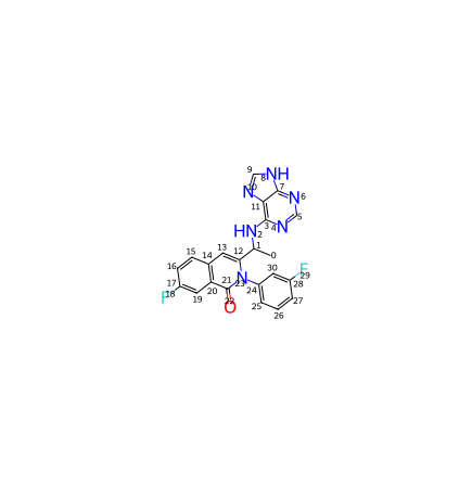 CC(Nc1ncnc2[nH]cnc12)c1cc2ccc(F)cc2c(=O)n1-c1cccc(F)c1